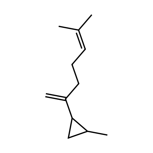 C=C(CCC=C(C)C)C1CC1C